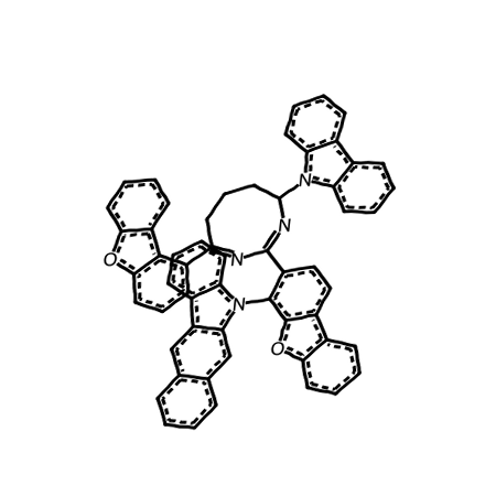 c1ccc2cc3c(cc2c1)c1ccccc1n3-c1c(C2=N/C(n3c4ccccc4c4ccccc43)CCC/C(c3cccc4oc5ccccc5c34)=N\2)ccc2c1oc1ccccc12